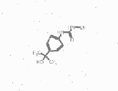 CCNC(=O)Nc1ccc(C(O)(C(F)(F)F)C(F)(F)F)cc1